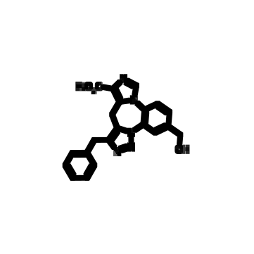 CCOC(=O)c1ncn2c1Cc1c(Cc3ccccc3)nnn1-c1cc(CO)ccc1-2